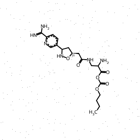 CCCCOC(=O)OC(=O)C(N)CNC(=O)C[C@@H]1CC(c2ccc(C(=N)N)nc2)NO1